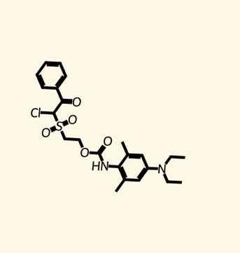 CCN(CC)c1cc(C)c(NC(=O)OCCS(=O)(=O)C(Cl)C(=O)c2ccccc2)c(C)c1